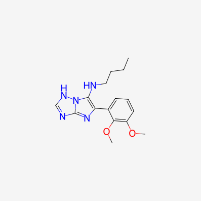 CCCCNc1c(-c2cccc(OC)c2OC)nc2nc[nH]n12